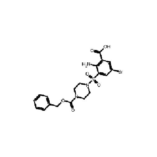 Nc1c(C(=O)O)cc(Br)cc1S(=O)(=O)N1CCN(C(=O)OCc2ccccc2)CC1